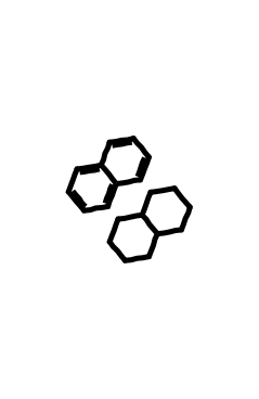 C1CCC2CCCCC2C1.c1ccc2ccccc2c1